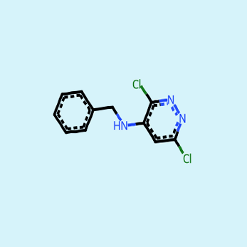 Clc1cc(NCc2ccccc2)c(Cl)nn1